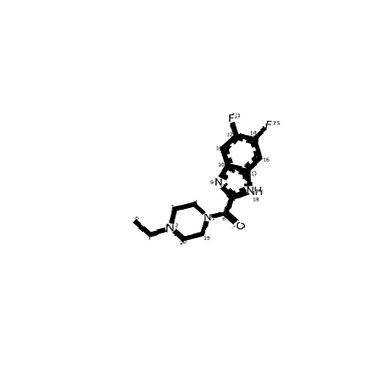 CCN1CCN(C(=O)c2nc3cc(F)c(F)cc3[nH]2)CC1